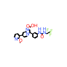 COc1ncccc1-c1ccn2c(-c3cccc(NC(=O)NCC(F)(F)F)c3)cnc2c1.O=CO